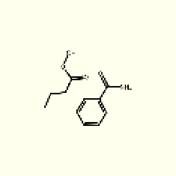 CCCC(=O)OO.NC(=O)c1ccccc1